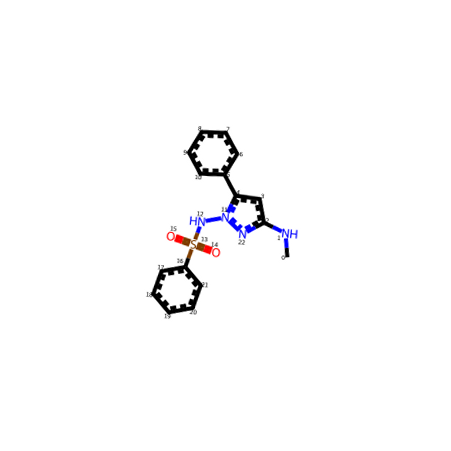 CNc1cc(-c2ccccc2)n(NS(=O)(=O)c2ccccc2)n1